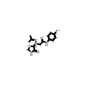 CC(C)=N[N+](CC(=O)Nc1ccc(F)cc1)=C1SCNC1=O